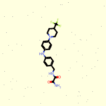 NC(=O)C(=O)NCc1ccc(Nc2ccc(N3CCC(C(F)(F)F)CC3)cc2)cc1